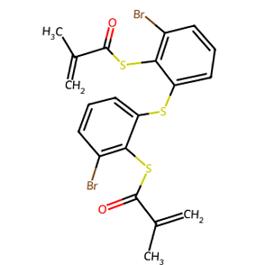 C=C(C)C(=O)Sc1c(Br)cccc1Sc1cccc(Br)c1SC(=O)C(=C)C